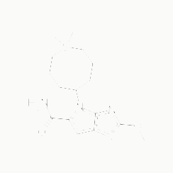 COc1nc2c(cc(C(N)=O)n2C2CCC[Si](C)(C)CCC2)s1